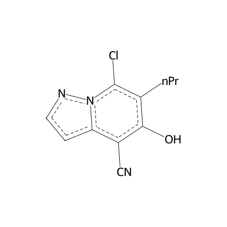 CCCc1c(O)c(C#N)c2ccnn2c1Cl